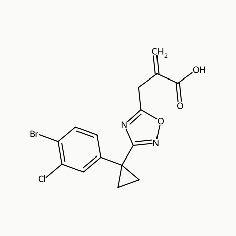 C=C(Cc1nc(C2(c3ccc(Br)c(Cl)c3)CC2)no1)C(=O)O